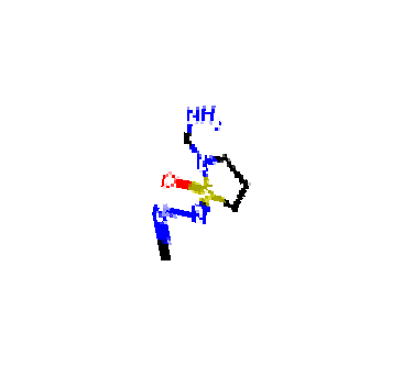 C=NN=S1(=O)CCCN1CN